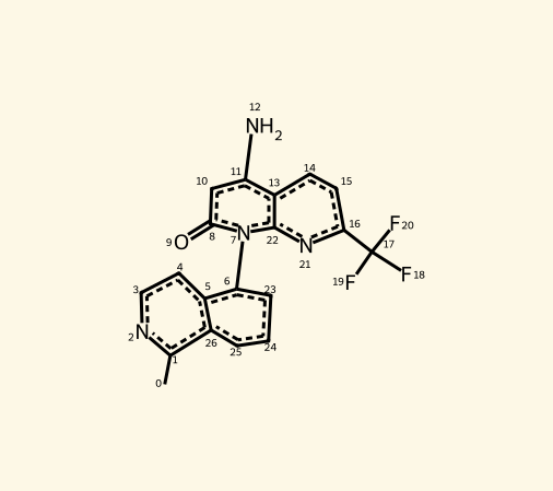 Cc1nccc2c(-n3c(=O)cc(N)c4ccc(C(F)(F)F)nc43)cccc12